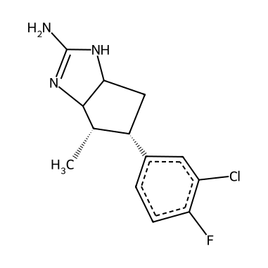 C[C@@H]1C2N=C(N)NC2C[C@@H]1c1ccc(F)c(Cl)c1